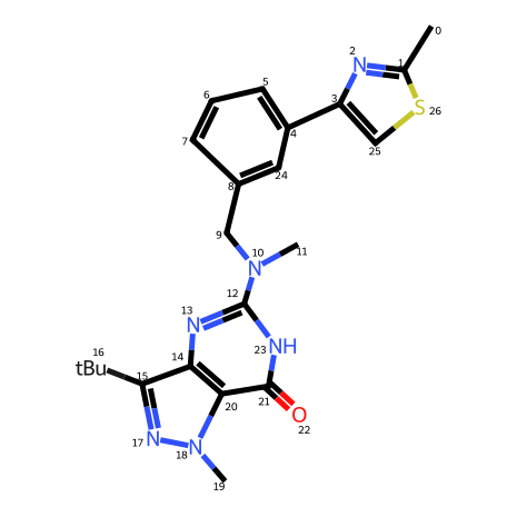 Cc1nc(-c2cccc(CN(C)c3nc4c(C(C)(C)C)nn(C)c4c(=O)[nH]3)c2)cs1